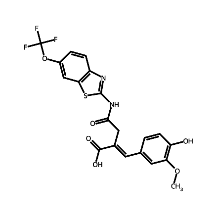 COc1cc(/C=C(\CC(=O)Nc2nc3ccc(OC(F)(F)F)cc3s2)C(=O)O)ccc1O